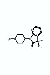 BN1CCC(N2C(=O)C(C)(I)c3cccbc32)CC1